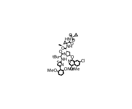 C=C[C@@H]1C[C@]1(NC(=O)[C@@H]1C[C@@H](Oc2ncc(OC)c3ccc(Cl)cc23)CN1C(=O)[C@@H](Nc1nc(-c2c(OC)cccc2OC)cs1)C(C)(C)C)C(=O)NS(=O)(=O)C1CC1